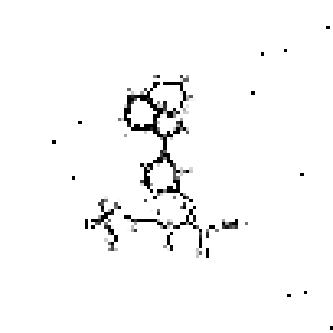 CCC(OC)C(Nc1nccc(-c2cn3c4c(cccc24)CCC3)n1)N(C)CCOS(C)(=O)=O